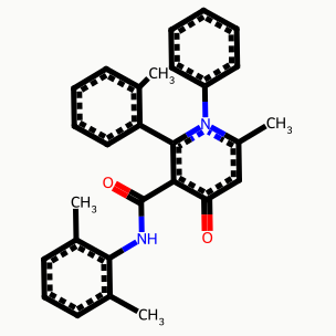 Cc1ccccc1-c1c(C(=O)Nc2c(C)cccc2C)c(=O)cc(C)n1-c1ccccc1